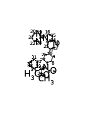 CC1(C)OC(=O)N([C@H]2CC[C@H](c3cnc4ccn(-c5ncccn5)c4c3)CC2)[C@H]1c1ccccc1